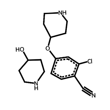 N#Cc1ccc(OC2CCNCC2)cc1Cl.OC1CCNCC1